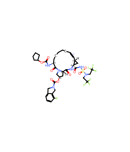 O=C(N[C@H]1CCCCC/C=C\[C@@H]2C[C@@]2(C(=O)NS(=O)(=O)N(CC(F)(F)F)CC(F)(F)F)NC(=O)[C@@H]2C[C@@H](OC(=O)N3Cc4cccc(F)c4C3)CN2C1=O)OC1CCCC1